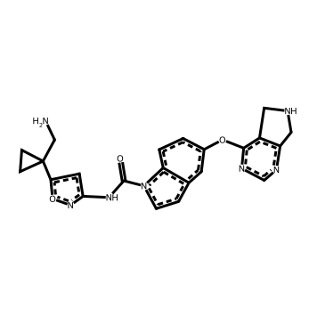 NCC1(c2cc(NC(=O)n3ccc4cc(Oc5ncnc6c5CNC6)ccc43)no2)CC1